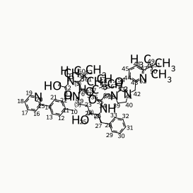 CN(C(=O)O)[C@H](C(=O)N[C@@H](Cc1ccc(-c2ccccn2)cc1)C[C@H](O)[C@H](Cc1ccccc1)NC(=O)[C@@H](N1CCN(Cc2cccc(C(C)(C)C)n2)C1=O)C(C)(C)C)C(C)(C)C